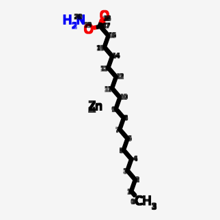 CCCCCCCCCCCCCCCCCC(=O)ON.[Zn]